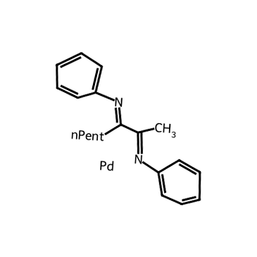 CCCCCC(=N\c1ccccc1)/C(C)=N/c1ccccc1.[Pd]